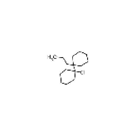 CCCC1(C2(Cl)CCCCC2)CCCCC1